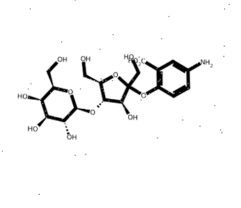 Nc1ccc(OC2(CO)O[C@H](CO)[C@@H](O[C@@H]3O[C@H](CO)[C@H](O)[C@H](O)[C@H]3O)[C@@H]2O)c(C(=O)O)c1